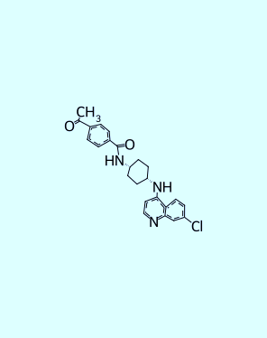 CC(=O)c1ccc(C(=O)N[C@H]2CC[C@@H](Nc3ccnc4cc(Cl)ccc34)CC2)cc1